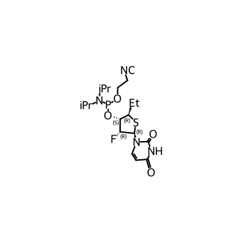 [C-]#[N+]CCOP(O[C@H]1[C@@H](F)[C@H](n2ccc(=O)[nH]c2=O)S[C@@H]1CC)N(C(C)C)C(C)C